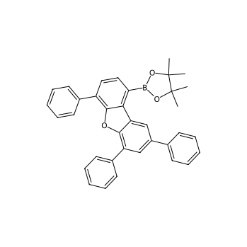 CC1(C)OB(c2ccc(-c3ccccc3)c3oc4c(-c5ccccc5)cc(-c5ccccc5)cc4c23)OC1(C)C